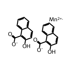 O=C([O-])c1c(O)ccc2ccccc12.O=C([O-])c1c(O)ccc2ccccc12.[Mn+2]